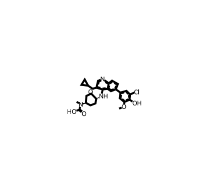 COc1cc(-c2ccc3ncc(C(=O)C4CC4)c(N[C@H]4CC[C@H](N(C)C(=O)O)CC4)c3c2)cc(Cl)c1O